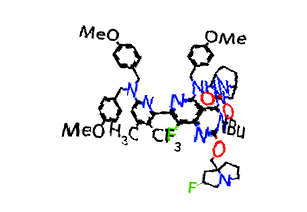 COc1ccc(CNc2nc(-c3nc(N(Cc4ccc(OC)cc4)Cc4ccc(OC)cc4)cc(C)c3C(F)(F)F)c(F)c3nc(OC[C@@]45CCCN4C[C@H](F)C5)nc(N4CC5CCC(C4)N5C(=O)OC(C)(C)C)c23)cc1